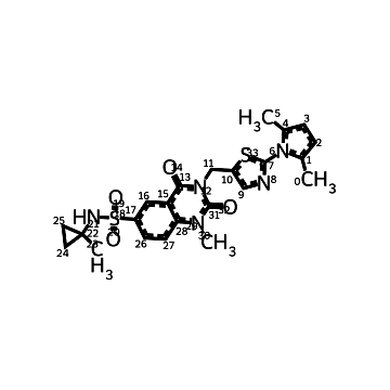 Cc1ccc(C)n1-c1ncc(Cn2c(=O)c3cc(S(=O)(=O)NC4(C)CC4)ccc3n(C)c2=O)s1